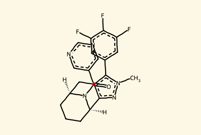 Cn1nc2c(c1-c1cc(F)c(F)c(F)c1)C[C@@H]1CCC[C@H]2N1C(=O)c1cncnc1